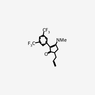 C=CCC1CC(NC)=C(c2cc(C(F)(F)F)cc(C(F)(F)F)c2)C1=O